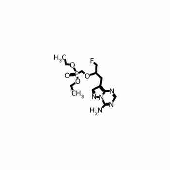 CCOP(=O)(COC(CF)Cc1cnn2c(N)ncnc12)OCC